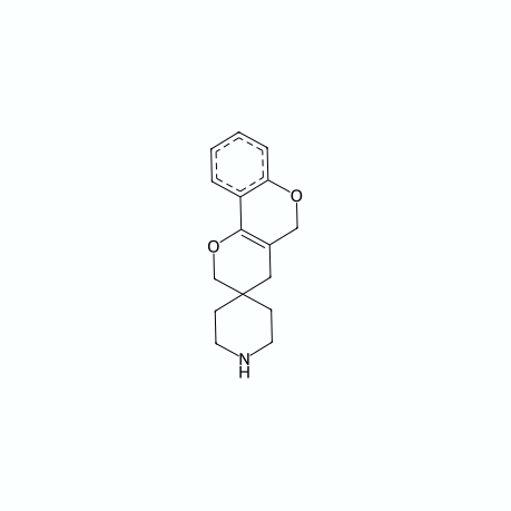 c1ccc2c(c1)OCC1=C2OCC2(CCNCC2)C1